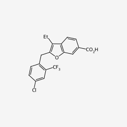 CCc1c(Cc2ccc(Cl)cc2C(F)(F)F)oc2cc(C(=O)O)ccc12